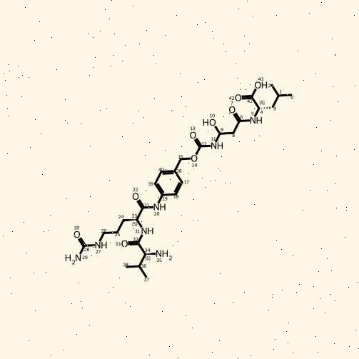 CC(C)C[C@H](NC(=O)CC(O)NC(=O)OCc1ccc(NC(=O)[C@H](CCCNC(N)=O)NC(=O)[C@@H](N)C(C)C)cc1)C(=O)O